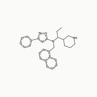 CCC(C1CCCNC1)N(Cc1cccc2ccccc12)c1cc(-c2ccccc2)no1